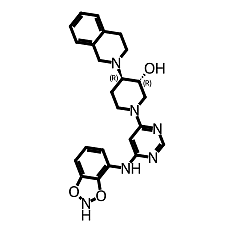 O[C@@H]1CN(c2cc(Nc3cccc4c3ONO4)ncn2)CC[C@H]1N1CCc2ccccc2C1